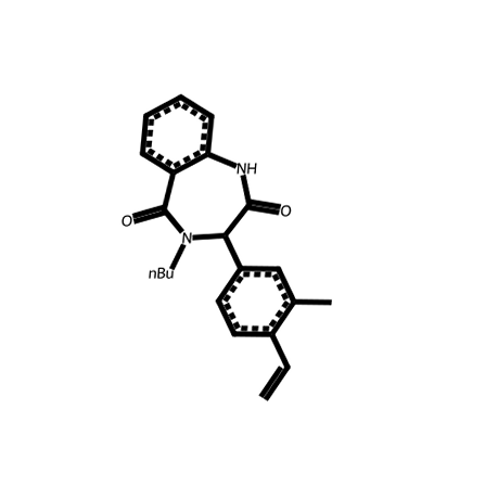 C=Cc1ccc(C2C(=O)Nc3ccccc3C(=O)N2CCCC)cc1C